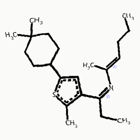 CCC/C=C(C)/N=C(/CC)c1cc(C2CCC(C)(C)CC2)sc1C